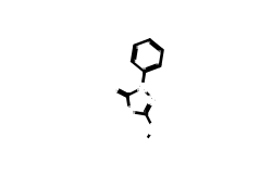 CCOc1nn(-c2ccccc2)c(=O)o1